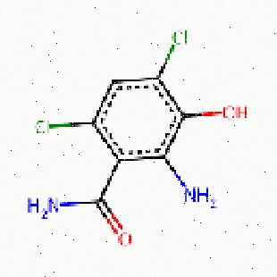 NC(=O)c1c(Cl)cc(Cl)c(O)c1N